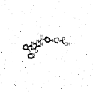 O=C(CO)N1CCN(c2ccc(Nc3ncc4c(=O)n5c(nc4n3)c3ccccc3n5-c3ccccn3)cc2)CC1